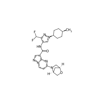 C[C@H]1CC[C@@H](n2cc(NC(=O)c3cnn4ccc(N5C[C@@H]6C[C@H]5CO6)nc34)c(C(F)F)n2)CC1